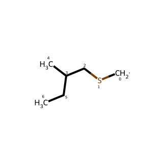 [CH2]SCC(C)CC